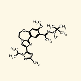 COc1cc2c(cc1/C(C)=N/[S@+]([O-])C(C)(C)C)-c1nc(-c3nc(C)nn3C(C)C)cn1CCO2